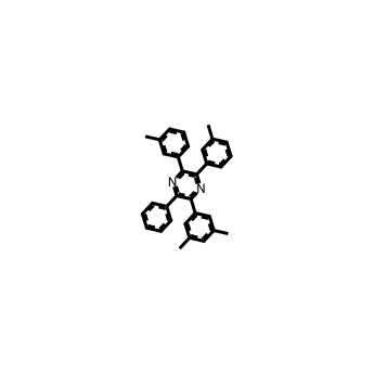 Cc1cccc(-c2nc(-c3ccccc3)c(-c3cc(C)cc(C)c3)nc2-c2cccc(C)c2)c1